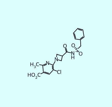 Cc1nc(N2CC(C(=O)NS(=O)(=O)Cc3ccccc3)C2)c(Cl)cc1C(=O)O